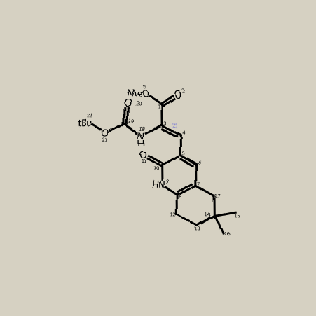 COC(=O)/C(=C/c1cc2c([nH]c1=O)CCC(C)(C)C2)NC(=O)OC(C)(C)C